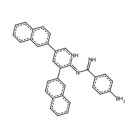 Bc1ccc(C(=N)/N=c2\[nH]cc(-c3ccc4ccccc4c3)cc2-c2ccc3ccccc3c2)cc1